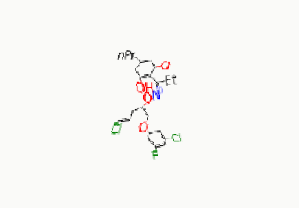 CCCC1CC(=O)C(/C(CC)=N\OC(CC=CCl)COc2cc(F)cc(Cl)c2)=C(O)C1